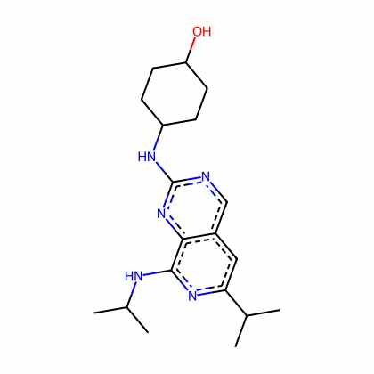 CC(C)Nc1nc(C(C)C)cc2cnc(NC3CCC(O)CC3)nc12